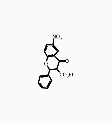 CCOC(=O)C1C(=O)c2cc([N+](=O)[O-])ccc2OC1c1ccccc1